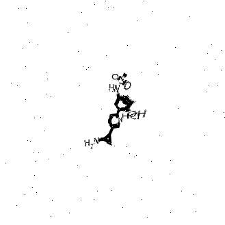 CS(=O)(=O)Nc1ccc(O)c(-c2ccc(C3CC3N)cn2)c1.Cl